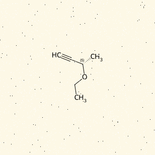 C#C[C@H](C)OCC